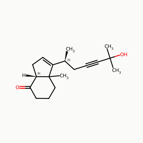 C[C@@H](CC#CC(C)(C)O)C1=CC[C@H]2C(=O)CCCC12C